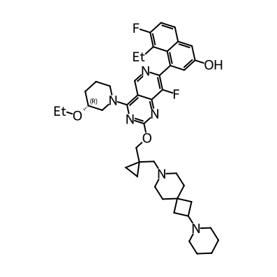 CCO[C@@H]1CCCN(c2nc(OCC3(CN4CCC5(CC4)CC(N4CCCCC4)C5)CC3)nc3c(F)c(-c4cc(O)cc5ccc(F)c(CC)c45)ncc23)C1